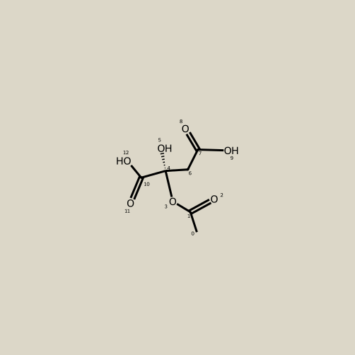 CC(=O)O[C@](O)(CC(=O)O)C(=O)O